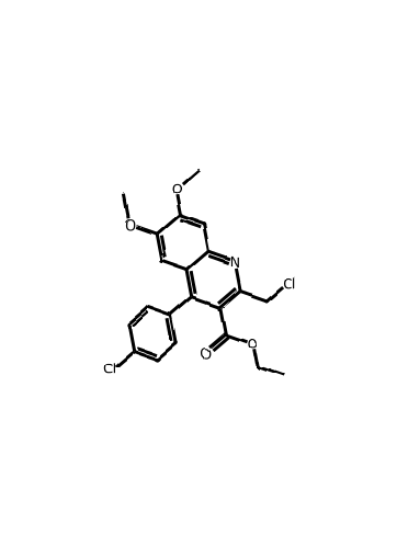 CCOC(=O)c1c(CCl)nc2cc(OC)c(OC)cc2c1-c1ccc(Cl)cc1